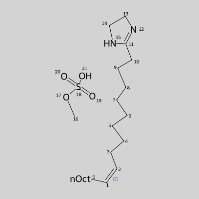 CCCCCCCC/C=C\CCCCCCCCC1=NCCN1.COS(=O)(=O)O